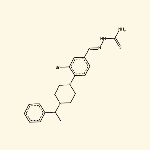 CC(c1ccccc1)N1CCN(c2ccc(C=NNC(N)=S)cc2Br)CC1